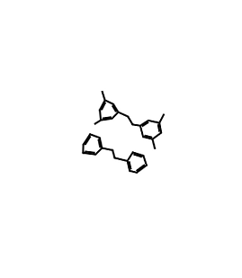 Cc1cc(C)cc(CCc2cc(C)cc(C)c2)c1.c1ccc(CCc2ccccc2)cc1